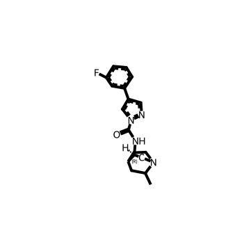 CC1CC2CCN1C[C@@H]2NC(=O)n1cc(-c2cccc(F)c2)cn1